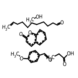 C=CCCCCCCCCC=O.CCC(=O)O.CO.COc1ccc(C=O)cc1.O=c1ccc2ccccc2o1